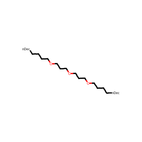 CCCCCCCCCCCCCCOCCCOCCCOCCCCCCCCCCCCCC